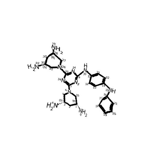 N[C@@H]1C[C@H](N)CN(c2nc(Nc3ccc(Nc4ccccc4)cc3)nc(N3C[C@H](N)C[C@H](N)C3)n2)C1